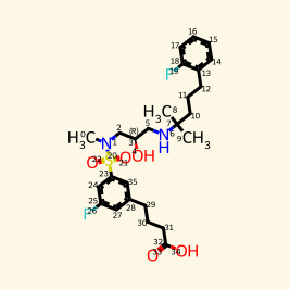 CN(C[C@H](O)CNC(C)(C)CCCc1ccccc1F)S(=O)(=O)c1cc(F)cc(CCCC(=O)O)c1